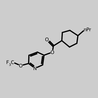 CCCC1CCC(C(=O)Oc2ccc(OC(F)(F)F)nc2)CC1